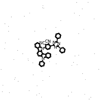 N#Cc1c(-c2nc(-c3ccccc3)nc(-c3ccccc3)n2)ccc(-n2c3ccccc3c3ccc4c(c5ccccc5n4-c4ccccc4)c32)c1C#N